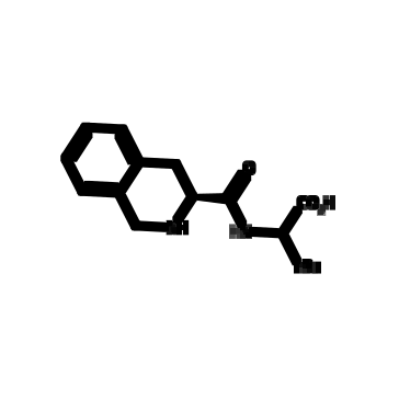 CCCCC(NC(=O)[C@@H]1Cc2ccccc2CN1)C(=O)O